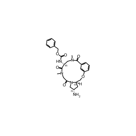 CN1C[C@@H](NC(=O)OCc2ccccc2)C(=O)N(C)CC(=O)N2C[C@@H](N)C[C@H]2COc2cccc(c2)C1=O